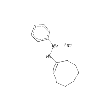 C1=C(/NNc2ccccc2)CCCCCC/1.Cl